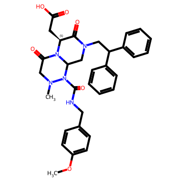 COc1ccc(CNC(=O)N2C3CN(CC(c4ccccc4)c4ccccc4)C(=O)[C@H](CC(=O)O)N3C(=O)CN2C)cc1